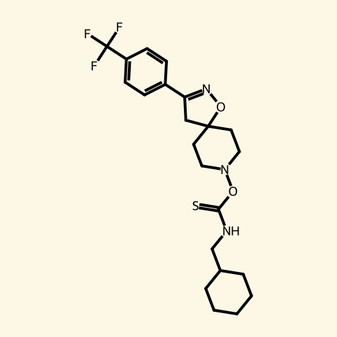 FC(F)(F)c1ccc(C2=NOC3(CCN(OC(=S)NCC4CCCCC4)CC3)C2)cc1